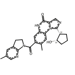 Cc1cc2c(cc1C(=O)N1CCc3cc(Br)cnc31)[nH]c(=O)c1cnc([C@@H]3CCC[C@@H]3O)n12